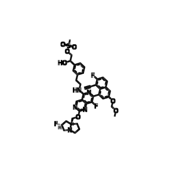 C#Cc1c(F)ccc2cc(OCOC)cc(-c3nc(NCCc4cccc(C(O)COS(C)(=O)=O)c4)c4cnc(OC[C@@]56CCCN5C[C@H](F)C6)nc4c3F)c12